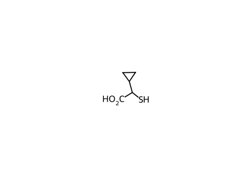 O=C(O)C(S)C1CC1